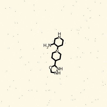 NC1CNCCC1N1CCC(C2NNCO2)CC1